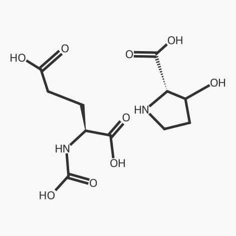 O=C(O)CC[C@H](NC(=O)O)C(=O)O.O=C(O)[C@H]1NCCC1O